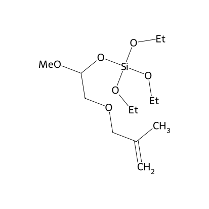 C=C(C)COCC(OC)O[Si](OCC)(OCC)OCC